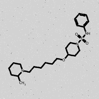 CC1CCCCN1CCCCCCOC1CCN(S(=O)(=O)Nc2ccccc2)CC1